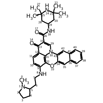 CN1CCCC1CCNc1ccc2c(=O)c(C(=O)NC3CC(C)(C)NC(C)(C)C3)cn3c2c1Oc1cc2ccccc2cc1-3